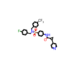 O=C(Nc1ccc(S(=O)(=O)N(Cc2ccc(F)cc2)Cc2ccc(C(F)(F)F)cc2)cc1)C1CC1c1ccncc1